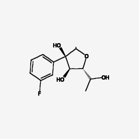 CC(O)[C@H]1O[CH][C@@](O)(c2cccc(F)c2)[C@@H]1O